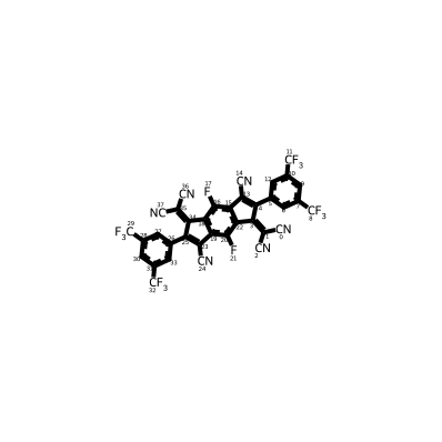 N#CC(C#N)=C1C(c2cc(C(F)(F)F)cc(C(F)(F)F)c2)=C(C#N)c2c(F)c3c(c(F)c21)C(C#N)=C(c1cc(C(F)(F)F)cc(C(F)(F)F)c1)C3=C(C#N)C#N